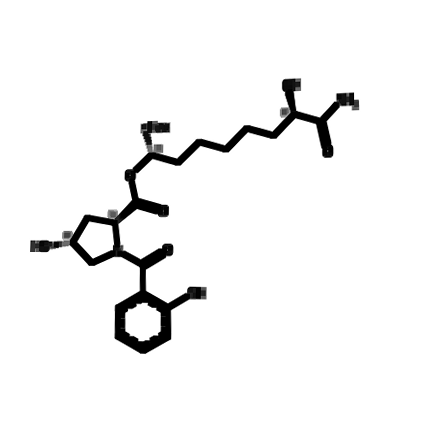 CCCCCC[C@H](CCCCC[C@@H](O)C(N)=O)OC(=O)[C@@H]1C[C@@H](O)CN1C(=O)c1ccccc1O